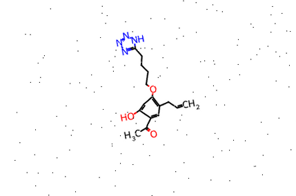 C=CCc1cc(C(C)=O)c(O)cc1OCCCCc1nnn[nH]1